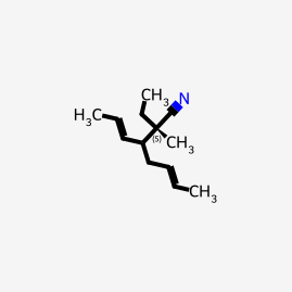 CC=CCC(C=CC)[C@@](C)(C#N)CC